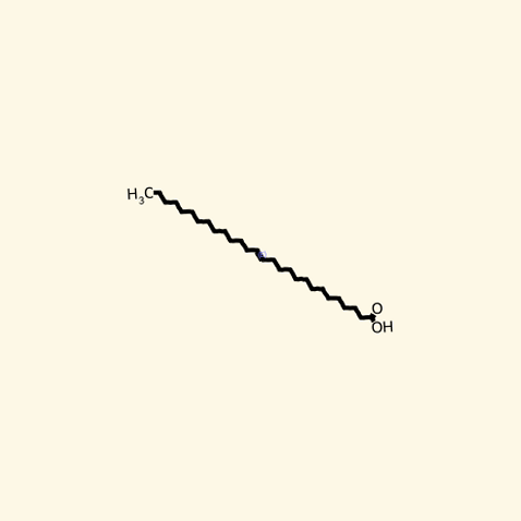 CCCCCCCCCCCCC/C=C/CCCCCCCCCCCCC(=O)O